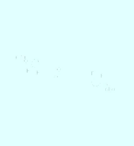 CCCCOc1ccc(C2CCC(OC(=O)C3CCC(C4CCC(c5ccc(OCCCC)c(F)c5F)CC4)CC3)CC2)c(F)c1F